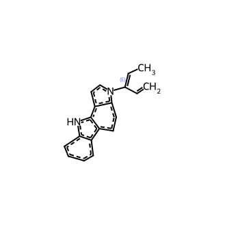 C=C/C(=C\C)n1ccc2c3[nH]c4ccccc4c3ccc21